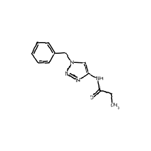 CCC(=O)Nc1cn(Cc2ccccc2)nn1